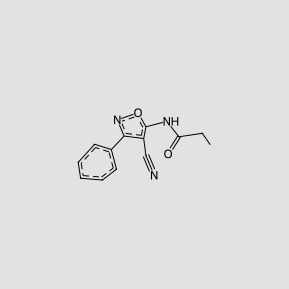 CCC(=O)Nc1onc(-c2ccccc2)c1C#N